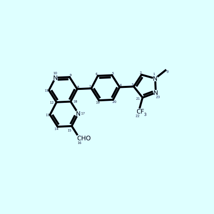 Cn1cc(-c2ccc(-c3cncc4ccc(C=O)nc34)cc2)c(C(F)(F)F)n1